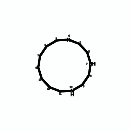 C1CCC[N]CCNCCNCCC1